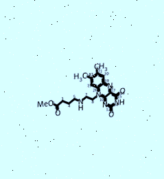 COC(=O)CCCNCCn1c2nc(=O)[nH]c(=O)c-2nc2cc(C)c(C)cc21